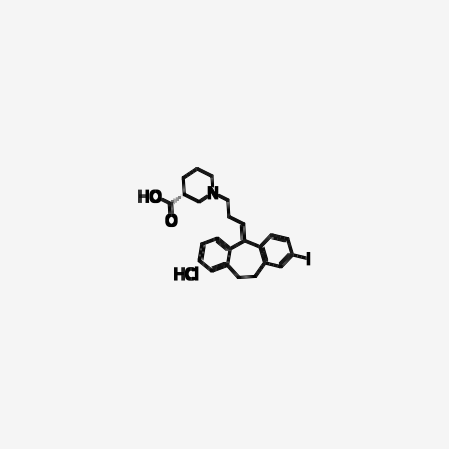 Cl.O=C(O)[C@@H]1CCCN(CC/C=C2\c3ccccc3CCc3cc(I)ccc32)C1